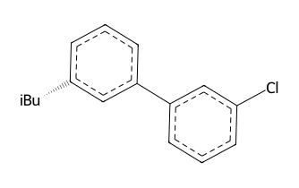 CC[C@@H](C)c1cccc(-c2cccc(Cl)c2)c1